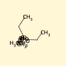 CCCCCCCC/C=C\CCCCCCCC(=O)OC[C@H](COP(=O)([O-])OCC[N+](C)(C)C)OC(=O)CCCCCCCCC/C=C\CCCCCCCCCC